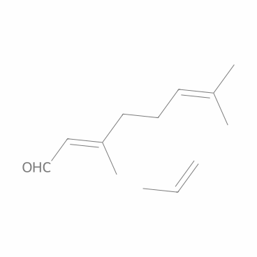 C=CC.CC(C)=CCC/C(C)=C/C=O